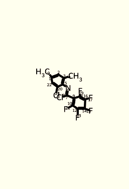 Cc1cc(C)c(N=C(Cl)c2c(F)c(F)c(F)c(F)c2F)c(Cl)c1